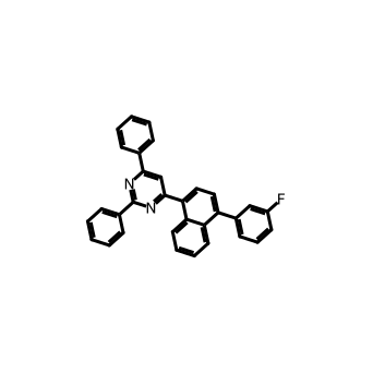 Fc1cccc(-c2ccc(-c3cc(-c4ccccc4)nc(-c4ccccc4)n3)c3ccccc23)c1